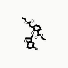 CCOC(=O)Cc1cccc(C(=O)OCC)c1OCc1coc2ccc(Br)cc12